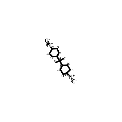 [C-]#[N+]C1CCC(C(C)(C)C2CCC([N+]#[C-])CC2)CC1